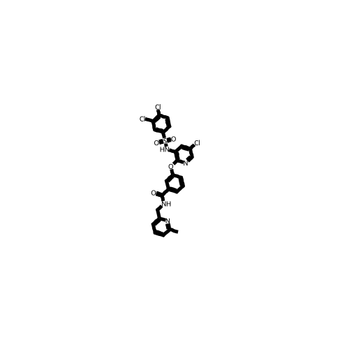 Cc1cccc(CNC(=O)c2cccc(Oc3ncc(Cl)cc3NS(=O)(=O)c3ccc(Cl)c(Cl)c3)c2)n1